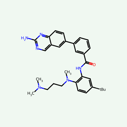 CN(C)CCCN(C)c1ccc(C(C)(C)C)cc1NC(=O)c1cccc(-c2ccc3nc(N)ncc3c2)c1